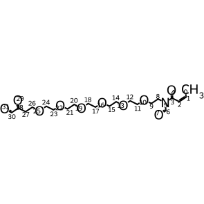 C/C=C\C(=O)N(C=O)CCOCCOCCOCCOCCOCCOCCC(=O)C=O